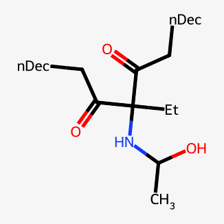 CCCCCCCCCCCC(=O)C(CC)(NC(C)O)C(=O)CCCCCCCCCCC